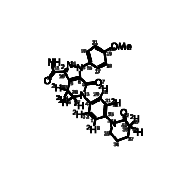 [2H]c1c([2H])c(N2C(=O)c3c(c(C(N)=O)nn3-c3ccc(OC)cc3)C([2H])([2H])C2([2H])[2H])c([2H])c([2H])c1N1CCCC([2H])([2H])C1=O